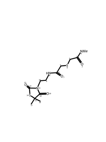 CNC(=O)CSCC(=O)NCCN1C(=O)SC(C)(C)C1=O